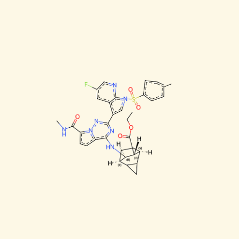 CCOC(=O)[C@H]1[C@H](Nc2nc(-c3cn(S(=O)(=O)c4ccc(C)cc4)c4ncc(F)cc34)nn3c(C(=O)NC)ccc23)[C@@H]2CC[C@H]1C1CC12